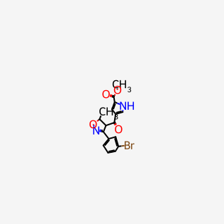 COC(=O)c1cc(C(=O)C2C(c3cccc(Br)c3)=NOC2C)c[nH]1